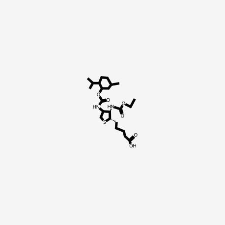 CCOC(=O)N[C@H]1C(NC(=O)OC2CC(C)CCC2C(C)C)CS[C@H]1CCCCC(=O)O